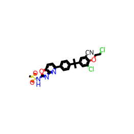 CC(C)(c1ccc(-c2ccc3oc(NS(C)(=O)=O)nc3n2)cc1)c1cc(Cl)c(OCCCl)c(C#N)c1